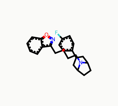 Fc1ccc(C2CC3CCC(C2)N3CCCCc2noc3ccccc23)cc1